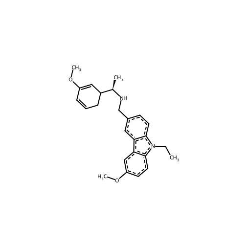 CCn1c2ccc(CN[C@H](C)C3C=C(OC)C=CC3)cc2c2cc(OC)ccc21